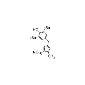 Cn1cc(Cc2cc(C(C)(C)C)c(O)c(C(C)(C)C)c2)cc1SC#N